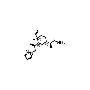 C=C[C@]1(C)CC[C@@H](C(=C)CN)C[C@H]1C(=C)Cn1cccn1